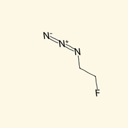 [N-]=[N+]=NCCF